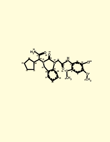 COc1cc(OC)c(NC(=O)CN2C(=O)N(C(C(N)=O)C3CCCC3)Cc3ccccc32)cc1Cl